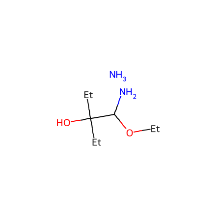 CCOC(N)C(O)(CC)CC.N